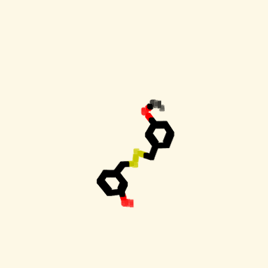 COc1cccc(CSSCc2cccc(O)c2)c1